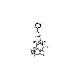 CC(=O)O[C@H]1C(=O)[C@@]2(C)C(C[C@]3(O)C[C@H](OC(=O)CCc4ccccc4)C(C)=C1C3(C)C)[C@]1(OC(C)=O)CO[C@@H]1C[C@@H]2O